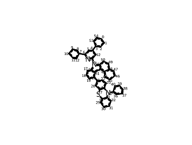 c1ccc(-c2cc(-c3ccccc3)nc(-n3c4cccc(-c5ccc6c(c5)Sc5ccccc5N6c5ccccc5)c4c4c5ccccc5ccc43)c2)cc1